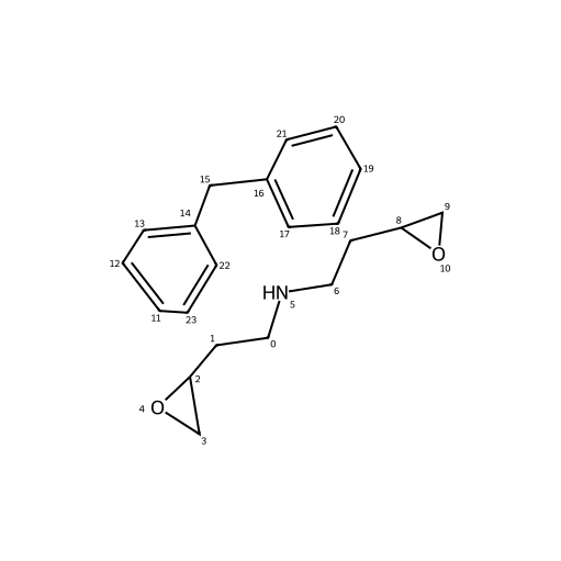 C(CC1CO1)NCCC1CO1.c1ccc(Cc2ccccc2)cc1